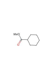 [CH2]OC(=O)C1CCCCC1